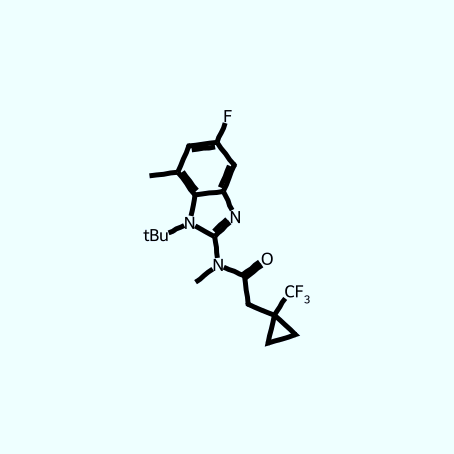 Cc1cc(F)cc2nc(N(C)C(=O)CC3(C(F)(F)F)CC3)n(C(C)(C)C)c12